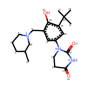 CC1CCCN(Cc2cc(N3CCC(=O)NC3=O)cc(C(C)(C)C)c2O)C1